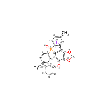 Cc1ccc(P(=O)(c2ccc(C)cc2)c2cc(Oc3ccccc3)c3c(c2CI)OCO3)cc1